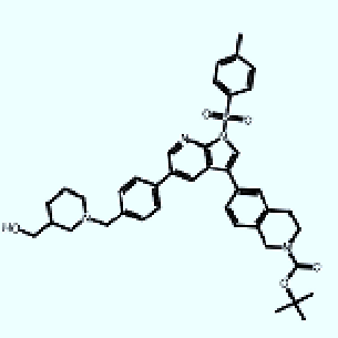 Cc1ccc(S(=O)(=O)n2cc(-c3ccc4c(c3)CCN(C(=O)OC(C)(C)C)C4)c3cc(-c4ccc(CN5CCCC(CO)C5)cc4)cnc32)cc1